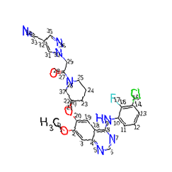 COc1cc2ncnc(Nc3cccc(Cl)c3F)c2cc1O[C@@H]1CCCN(C(=O)Cn2cc(C#N)cn2)C1